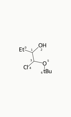 CCC(O)C(Cl)OC(C)(C)C